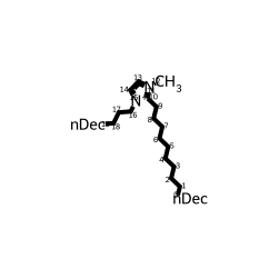 CCCCCCCCCCCCCCCCCCCc1n(C)cc[n+]1CCCCCCCCCCCCC